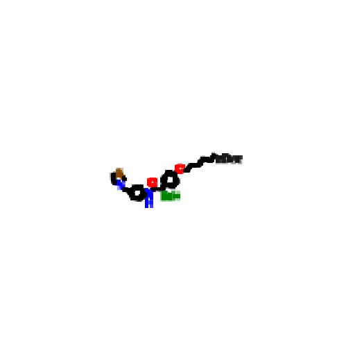 Br.CCCCCCCCCCCCCCCCOc1ccc(CC(=O)Nc2ccc(CN3C=CSC3)cc2)cc1